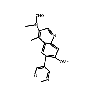 CC/C=C(\C=N/C)c1cc2c(C)c(N(C)C=O)cnc2cc1OC